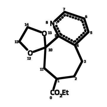 CCOC(=O)C1CCc2cccnc2C2(C1)OCCO2